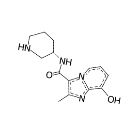 Cc1nc2c(O)cccn2c1C(=O)N[C@H]1CCCNC1